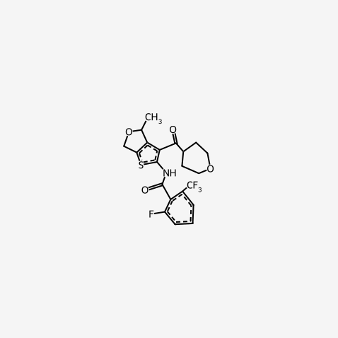 CC1OCc2sc(NC(=O)c3c(F)cccc3C(F)(F)F)c(C(=O)C3CCOCC3)c21